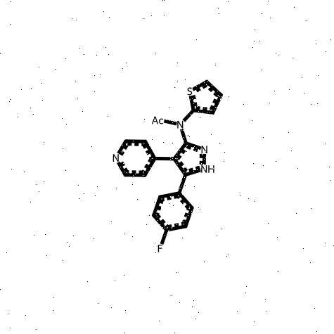 CC(=O)N(c1cccs1)c1n[nH]c(-c2ccc(F)cc2)c1-c1ccncc1